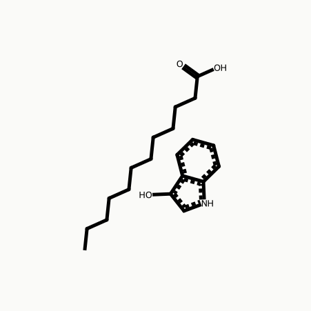 CCCCCCCCCCCC(=O)O.Oc1c[nH]c2ccccc12